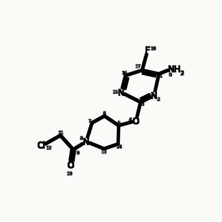 Nc1nc(OC2CCN(C(=O)CCl)CC2)ncc1F